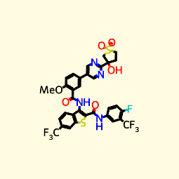 COc1ccc(-c2cnc(C3(O)CCS(=O)(=O)C3)nc2)cc1C(=O)Nc1c(C(=O)Nc2ccc(F)c(C(F)(F)F)c2)sc2cc(C(F)(F)F)ccc12